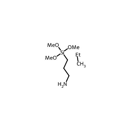 CCC.CO[Si](CCCN)(OC)OC